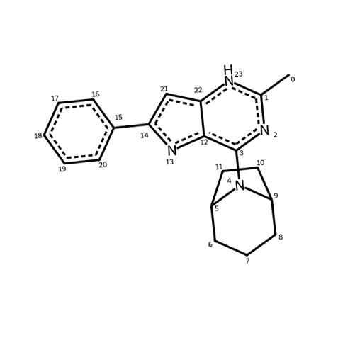 Cc1nc(N2C3CCCC2CC3)c2nc(-c3ccccc3)cc-2[nH]1